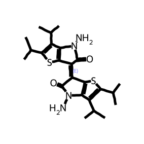 CC(C)c1sc2c(c1C(C)C)N(N)C(=O)/C2=C1/C(=O)N(N)c2c1sc(C(C)C)c2C(C)C